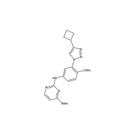 CNc1ccnc(Nc2ccc(OC)c(-n3cc(C4CCC4)nn3)c2)n1